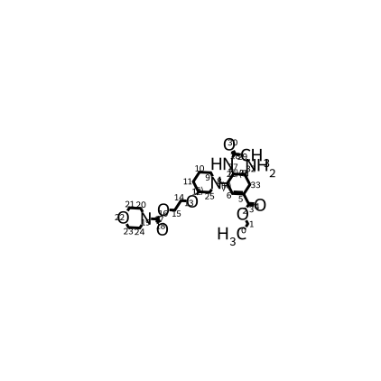 CCOC(=O)C1=C[C@@H](N2CCC[C@H](OCCOC(=O)N3CCOCC3)C2)[C@@H](NC(C)=O)[C@@H](N)C1